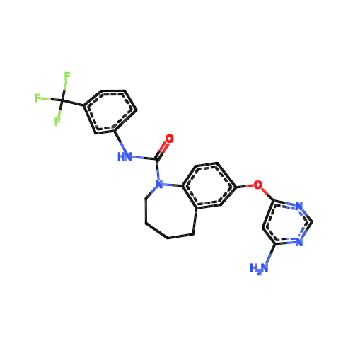 Nc1cc(Oc2ccc3c(c2)CCCCN3C(=O)Nc2cccc(C(F)(F)F)c2)ncn1